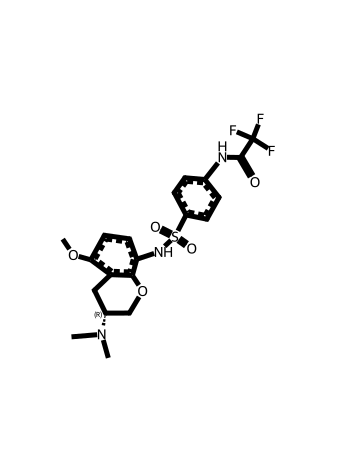 COc1ccc(NS(=O)(=O)c2ccc(NC(=O)C(F)(F)F)cc2)c2c1C[C@@H](N(C)C)CO2